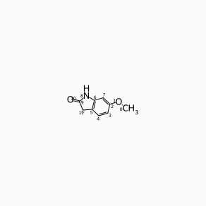 COc1ccc2c(c1)NC(=O)[C]2